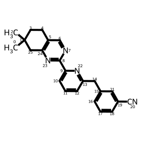 CC1(C)CCc2cnc(-c3cccc(Cc4cccc(C#N)c4)n3)nc2C1